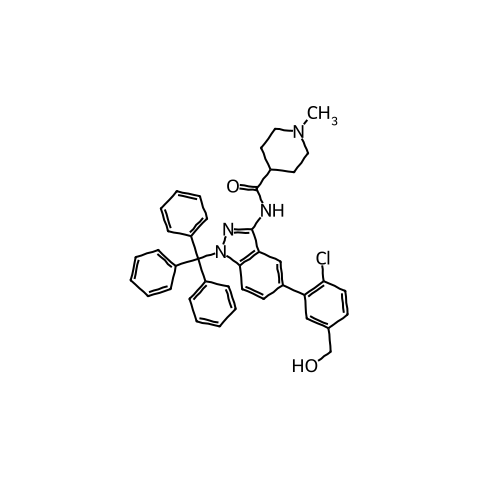 CN1CCC(C(=O)Nc2nn(C(c3ccccc3)(c3ccccc3)c3ccccc3)c3ccc(-c4cc(CO)ccc4Cl)cc23)CC1